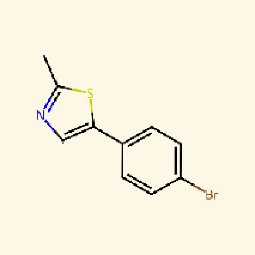 Cc1n[c]c(-c2ccc(Br)cc2)s1